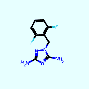 Nc1nc(N)n(Cc2c(F)cccc2F)n1